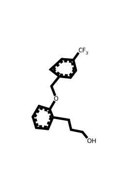 OCCCc1ccccc1OCc1ccc(C(F)(F)F)cc1